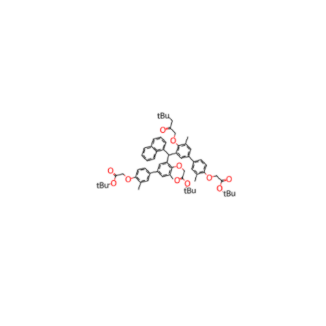 Cc1cc(-c2cc(C)c(OCC(=O)CC(C)(C)C)c(C(c3cc(-c4ccc(OCC(=O)OC(C)(C)C)c(C)c4)cc(C)c3OCC(=O)OC(C)(C)C)c3cccc4ccccc34)c2)ccc1OCC(=O)OC(C)(C)C